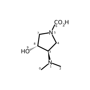 CN(C)[C@@H]1CN(C(=O)O)C[C@H]1O